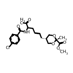 COC(=O)[C@]1(C)OC[C@H](CCCCC(NC(=O)c2ccc(Cl)cc2)C(C)=O)CO1